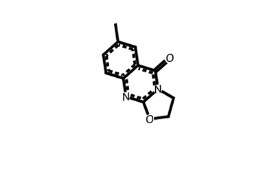 Cc1ccc2nc3n(c(=O)c2c1)CCO3